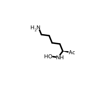 CC(=O)[C@H](CCCCN)NO